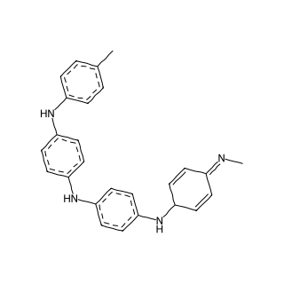 CN=C1C=CC(Nc2ccc(Nc3ccc(Nc4ccc(C)cc4)cc3)cc2)C=C1